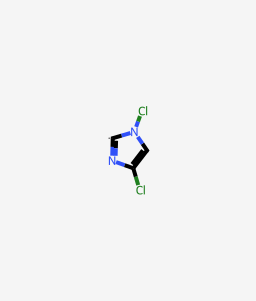 Clc1cn(Cl)[c]n1